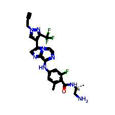 C#CCn1cc(-c2cnc3c(Nc4cc(C)c(C(=O)N[C@H](C)CN)c(F)c4)nccn23)c(C(F)(F)F)n1